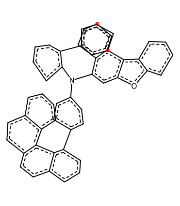 c1ccc(-c2ccccc2N(c2ccc(-c3cccc4ccc5ccc6ccccc6c5c34)cc2)c2cc3oc4ccccc4c3c3ccccc23)cc1